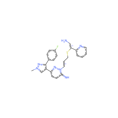 Cn1cc(-c2ccc(=N)n(/C=C/CS/C(=C\N)c3ccccn3)n2)c(-c2ccc(F)cc2)n1